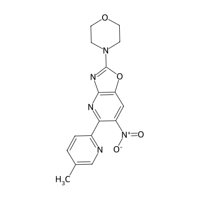 Cc1ccc(-c2nc3nc(N4CCOCC4)oc3cc2[N+](=O)[O-])nc1